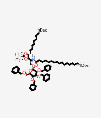 CCCCCCCCCCCCCCCCCCCCCCCCCC(=O)N[C@@H](CO[C@H]1O[C@H](COCc2ccccc2)[C@H](OCc2ccccc2)[C@H](OCc2ccccc2)[C@H]1OCc1ccccc1)[C@@H]1OC(C)(C)O[C@@H]1CCCCCCCCCCCCCCCCCCC